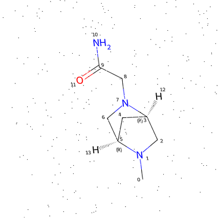 CN1C[C@H]2C[C@@H]1CN2CC(N)=O